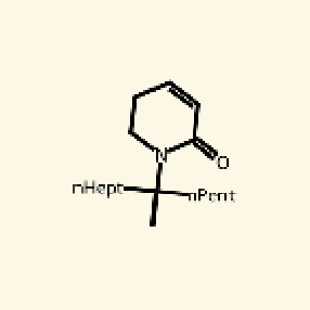 CCCCCCCC(C)(CCCCC)N1CCC=CC1=O